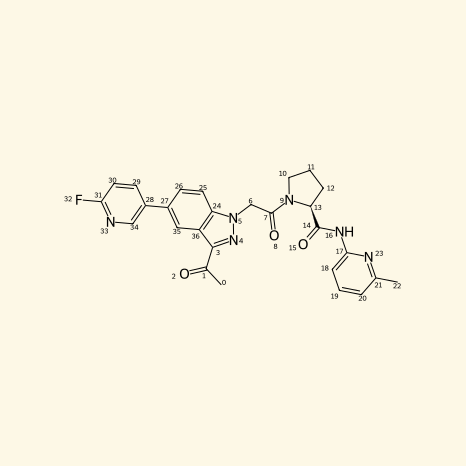 CC(=O)c1nn(CC(=O)N2CCC[C@H]2C(=O)Nc2cccc(C)n2)c2ccc(-c3ccc(F)nc3)cc12